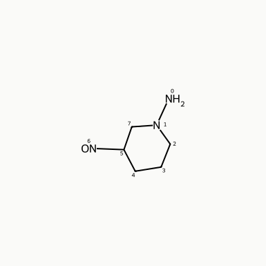 NN1CCCC(N=O)C1